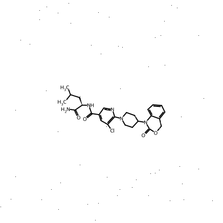 CC(C)C[C@@H](NC(=O)c1cnc(N2CCC(N3C(=O)OCc4ccccc43)CC2)c(Cl)c1)C(N)=O